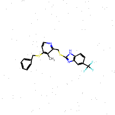 Cc1c(SCc2ccccc2)ccnc1CSc1nc2cc(C(F)(F)F)ccc2[nH]1